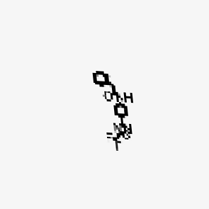 O=C(Cc1[c]cccc1)Nc1ccc(-c2noc(C(F)F)n2)cc1